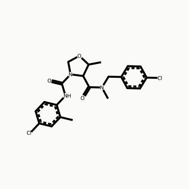 Cc1cc(Cl)ccc1NC(=O)N1COC(C)C1C(=O)N(C)Cc1ccc(Cl)cc1